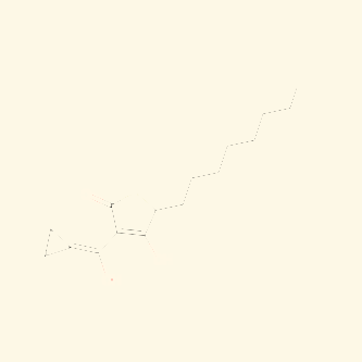 CCCCCCCCC1SC(=O)C(C(O)=C2CC2)=C1O